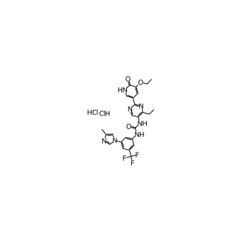 CCOc1cc(-c2ncc(NC(=O)Nc3cc(-n4cnc(C)c4)cc(C(F)(F)F)c3)c(CC)n2)c[nH]c1=O.Cl.Cl